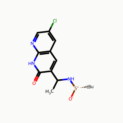 CC(N[S@@+]([O-])C(C)(C)C)c1cc2cc(Cl)cnc2[nH]c1=O